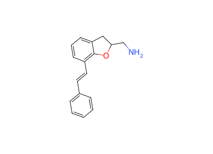 NCC1Cc2cccc(/C=C/c3ccccc3)c2O1